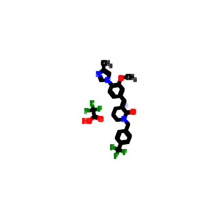 COc1cc(/C=C2\CCCN(Cc3ccc(C(F)(F)F)cc3)C2=O)ccc1-n1cnc(C)c1.O=C(O)C(F)(F)F